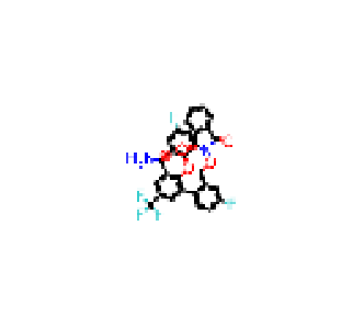 Cc1cc(F)ccc1Oc1c(C(N)=O)cc(C(F)(F)F)cc1-c1ccc(F)cc1CON1C(=O)c2ccccc2C1=O